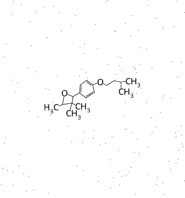 CC(C)CCOc1ccc(C2OC(C)C2(C)C)cc1